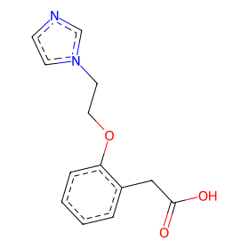 O=C(O)Cc1ccccc1OCCn1ccnc1